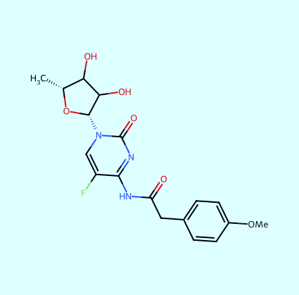 COc1ccc(CC(=O)Nc2nc(=O)n([C@@H]3O[C@H](C)C(O)C3O)cc2F)cc1